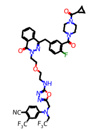 N#Cc1ccc(N(Cc2nnc(NCCOCCn3nc(Cc4ccc(F)c(C(=O)N5CCN(C(=O)C6CC6)CC5)c4)c4ccccc4c3=O)o2)CC(F)(F)F)cc1C(F)(F)F